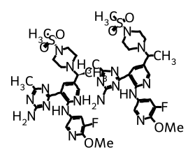 COc1ncc(Nc2ncc(C(C)N3CCN(S(C)(=O)=O)CC3)cc2-c2nc(C)nc(N)n2)cc1F.COc1ncc(Nc2ncc([C@H](C)N3CCN(S(C)(=O)=O)CC3)cc2-c2nc(C)nc(N)n2)cc1F